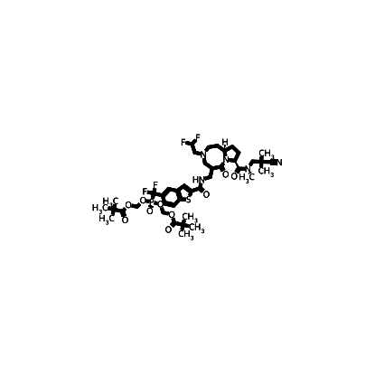 CN(CC(C)(C)C#N)C(=O)[C@@H]1CC[C@@H]2CCN(CC(F)F)CC(CNC(=O)c3cc4cc(C(F)(F)P(=O)(OCOC(=O)C(C)(C)C)OCOC(=O)C(C)(C)C)ccc4s3)C(=O)N21